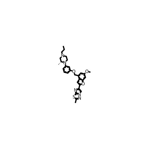 CCCN1CCN(c2cccc(OCc3cc(OC)cc4oc(-c5cn6nc(C)sc6n5)cc34)c2)[C@H](C)C1